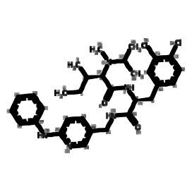 CCC(C)[C@H](C(=O)N[C@@H](Cc1ccc(Cl)c(Cl)c1)C(=O)NCc1ccc(Nc2ccccc2)nc1)N(C)C(C)C